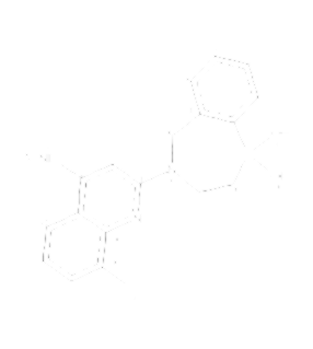 CC(=O)Nc1cc(N2CCS(O)(O)c3ccccc3C2)nc2c(C)cccc12